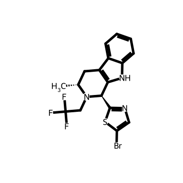 C[C@@H]1Cc2c([nH]c3ccccc23)[C@@H](c2ncc(Br)s2)N1CC(F)(F)F